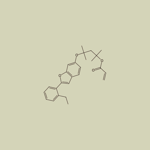 C=CC(=O)OC(C)(C)CC(C)(C)Oc1ccc2cc(-c3ccccc3CC)oc2c1